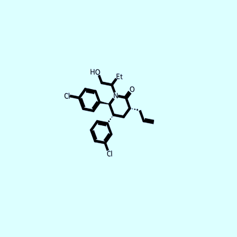 C=CC[C@@H]1C[C@H](c2cccc(Cl)c2)[C@@H](c2ccc(Cl)cc2)N(C(CC)CO)C1=O